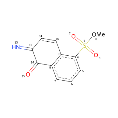 COS(=O)(=O)c1cccc2c1C=CC(=N)C2=O